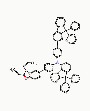 C=Cc1oc2ccc(-c3ccc(N(c4ccc(-c5ccc6c(c5)C(c5ccccc5)(c5ccccc5)c5ccccc5-6)cc4)c4cccc5c4-c4ccccc4C5(c4ccccc4)c4ccccc4)cc3)cc2c1/C=C\C